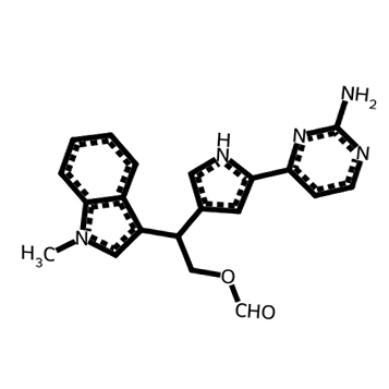 Cn1cc(C(COC=O)c2c[nH]c(-c3ccnc(N)n3)c2)c2ccccc21